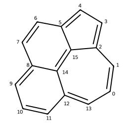 c1cc2ccc3ccc4cccc(c1)c4c3-2